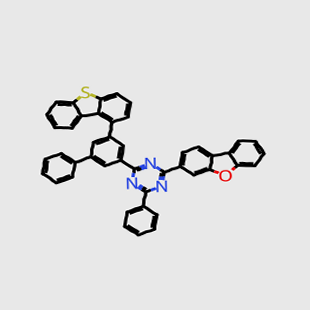 c1ccc(-c2cc(-c3nc(-c4ccccc4)nc(-c4ccc5c(c4)oc4ccccc45)n3)cc(-c3cccc4sc5ccccc5c34)c2)cc1